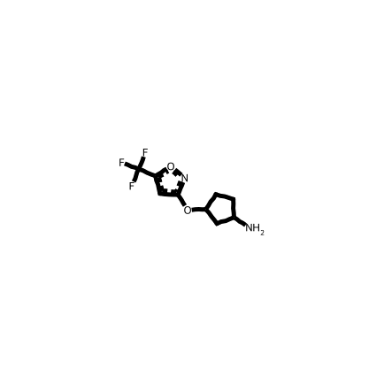 NC1CCC(Oc2cc(C(F)(F)F)on2)C1